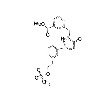 COC(=O)c1cccc(Cn2nc(-c3cccc(CCOS(C)(=O)=O)c3)ccc2=O)c1